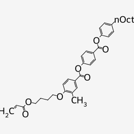 C=CC(=O)OCCCCOc1ccc(C(=O)Oc2ccc(C(=O)Oc3ccc(CCCCCCCC)cc3)cc2)cc1C